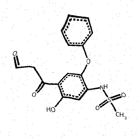 CS(=O)(=O)Nc1cc(O)c(C(=O)CC=O)cc1Oc1ccccc1